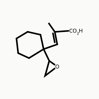 CC(=CC1(C2CO2)CCCCC1)C(=O)O